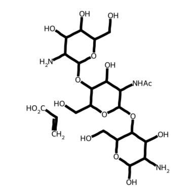 C=CC(=O)O.CC(=O)NC1C(OC2C(CO)OC(O)C(N)C2O)OC(CO)C(OC2OC(CO)C(O)C(O)C2N)C1O